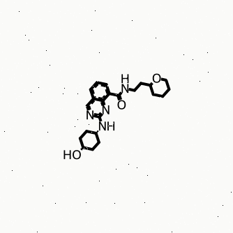 O=C(NCCC1CCCCO1)c1cccc2cnc(N[C@H]3CC[C@H](O)CC3)nc12